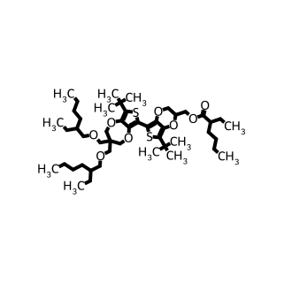 CCCCC(CC)COCC1(COCC(CC)CCCC)COc2c(-c3sc(C(C)(C)C)c4c3OCC(COC(=O)C(CC)CCCC)O4)sc(C(C)(C)C)c2OC1